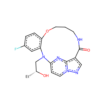 CC[C@@H](O)CN1c2ccn3ncc(c3n2)C(=O)NCCCOc2ccc(F)cc21